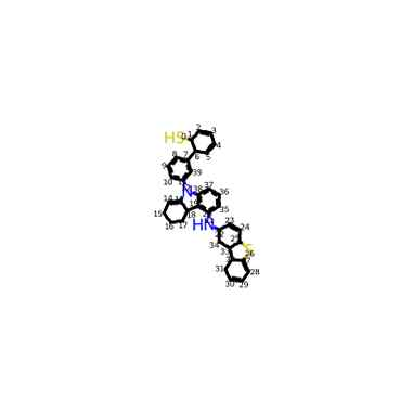 SC1C=CC=CC1c1cccc(N2C3=CCCCC3c3c(NC4C=CC5SC6=CC=CCC6C5C4)cccc32)c1